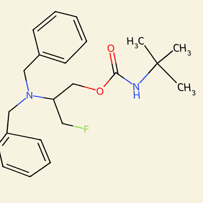 CC(C)(C)NC(=O)OCC(CF)N(Cc1ccccc1)Cc1ccccc1